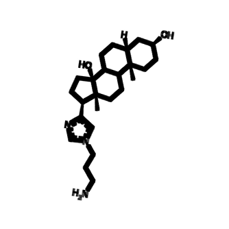 C[C@]12CC[C@H](O)C[C@H]1CCC1C2CC[C@]2(C)[C@@H](c3cn(CCCN)cn3)CC[C@]12O